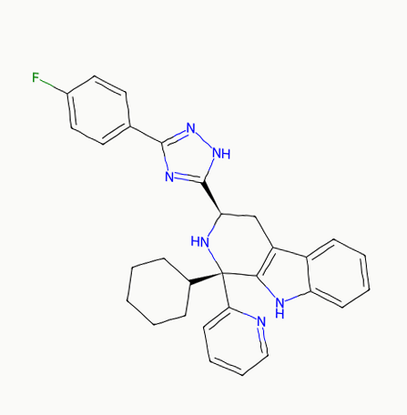 Fc1ccc(-c2n[nH]c([C@H]3Cc4c([nH]c5ccccc45)[C@@](c4ccccn4)(C4CCCCC4)N3)n2)cc1